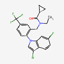 CCN(Cc1cc(C(F)(F)F)ccc1-n1cc(Br)c2ccc(F)cc21)C(=O)C1CC1